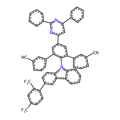 N#Cc1cccc(-c2cc(-c3cc(-c4ccccc4)nc(-c4ccccc4)n3)cc(-c3cccc(C#N)c3)c2-n2c3ccccc3c3cc(-c4ccc(C(F)(F)F)cc4C(F)(F)F)ccc32)c1